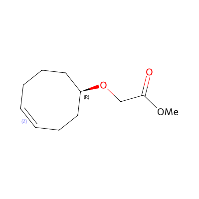 COC(=O)CO[C@H]1CC/C=C\CCC1